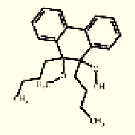 CCCCC1(OC)c2ccccc2-c2ccccc2C1(CCCC)OC